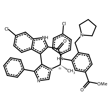 COC(=O)c1ccc(CN2CCCC2)c(NC(=O)c2[nH]c3cc(Cl)ccc3c2-c2c(-c3ccccc3)ncn2[C@@H](C)c2ccc(Cl)cc2)c1